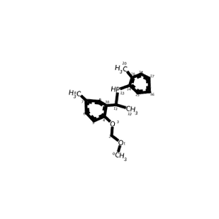 COCOc1ccc(C)cc1C(C)Pc1ccccc1C